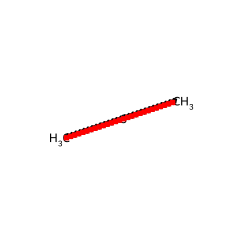 CCCCCCCCCCCCCCCCCCCCCCCCCCCCSCCCCCCCCCCCCCCCCCCCCCCCCCC